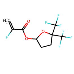 C=C(F)C(=O)OC1CCC(C(F)(F)F)(C(F)(F)F)O1